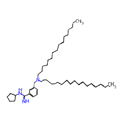 CCCCCCCCCCCCCCCCN(CCCCCCCCCCCCCCCC)Cc1cccc(C(=N)NC2CCCC2)c1